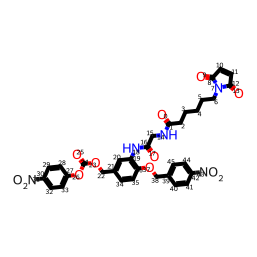 O=C(CCCCCN1C(=O)C=CC1=O)NCC(=O)Nc1cc(COC(=O)Oc2ccc([N+](=O)[O-])cc2)ccc1OCc1ccc([N+](=O)[O-])cc1